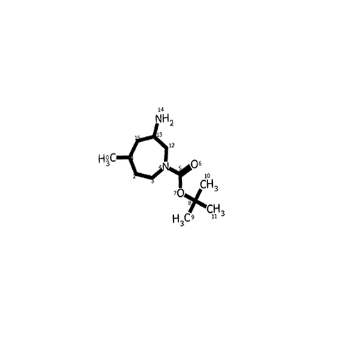 CC1CCN(C(=O)OC(C)(C)C)CC(N)C1